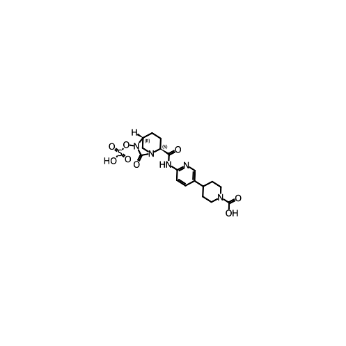 O=C(Nc1ccc(C2CCN(C(=O)O)CC2)cn1)[C@@H]1CC[C@@H]2CN1C(=O)N2OS(=O)(=O)O